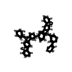 c1ccc(-c2cccc(-n3c4ccc(-c5ccc6c(c5)c5cc7c(cc5n6-c5ccccc5)oc5ccccc57)cc4c4cc5c(cc43)oc3ccccc35)c2)cc1